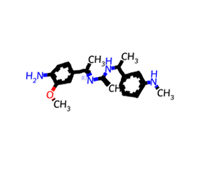 C=C(/N=C(\C)c1ccc(N)c(OC)c1)NC(C)c1cccc(NC)c1